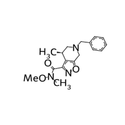 CON(C)C(=O)c1noc2c1[C@@H](C)CN(Cc1ccccc1)C2